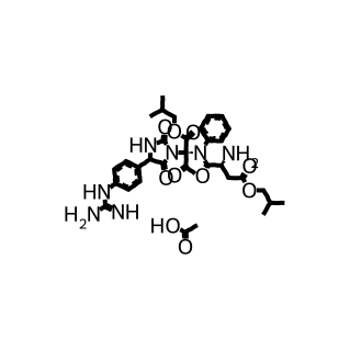 CC(=O)O.CC(=O)[C@](C(=O)OCC(C)C)(N1C(=O)NC(c2ccc(NC(=N)N)cc2)C1=O)N(C(=O)[C@@H](N)CC(=O)OCC(C)C)c1ccccc1